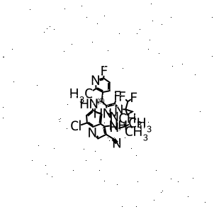 Cc1nc(F)ccc1[C@H](Nc1cc(Cl)c2ncc(C#N)c(NCC(C)(C)C)c2c1)C1=C(F)N(C2(C(F)F)CC2)NN1